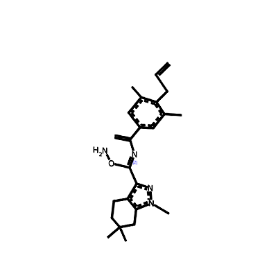 C=CCc1c(C)cc(C(=C)/N=C(\ON)c2nn(C)c3c2CCC(C)(C)C3)cc1C